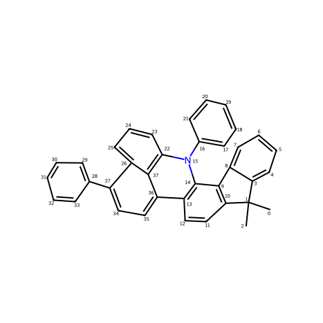 CC1(C)c2ccccc2-c2c1ccc1c2N(c2ccccc2)c2cccc3c(-c4ccccc4)ccc-1c23